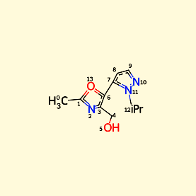 Cc1nc(CO)c(-c2ccnn2C(C)C)o1